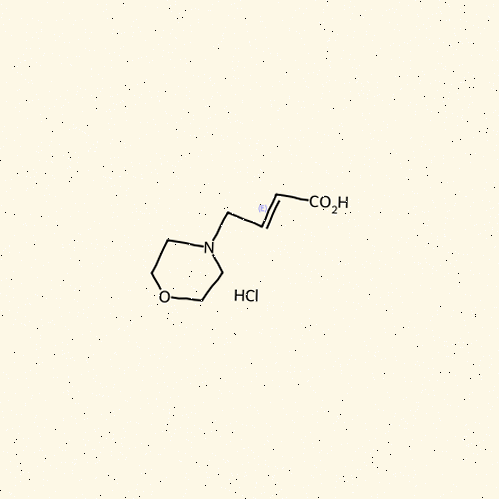 Cl.O=C(O)/C=C/CN1CCOCC1